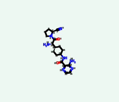 N#C[C@@H]1CCCN1C(=O)[C@@H](N)[C@H]1CC[C@H](NC(=O)c2nccnc2N)CC1